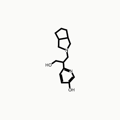 OCC(CN1CC2CCCC2C1)c1ccc(O)cn1